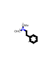 CON([C]=O)CCc1ccccc1